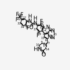 Nc1ncnn2c(CN3CCNC(=O)C3)cc(-c3cc(F)c(NC(=O)Nc4cc(C(F)(F)F)ccc4F)cc3F)c12